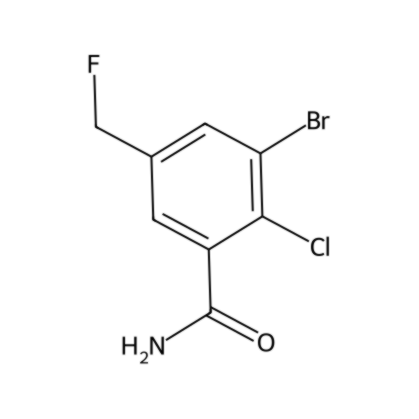 NC(=O)c1cc(CF)cc(Br)c1Cl